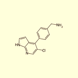 NCc1ccc(-c2c(Cl)cnc3[nH]ccc23)cc1